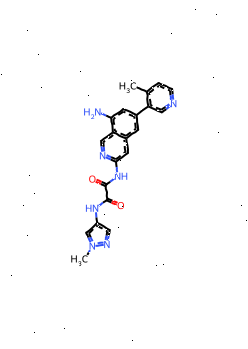 Cc1ccncc1-c1cc(N)c2cnc(NC(=O)C(=O)Nc3cnn(C)c3)cc2c1